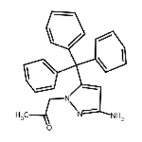 CC(=O)Cn1nc(N)cc1C(c1ccccc1)(c1ccccc1)c1ccccc1